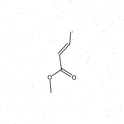 [CH]C=CC(=O)OC